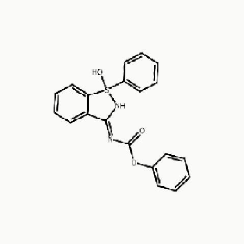 O=C(N=C1NS(O)(c2ccccc2)c2ccccc21)Oc1ccccc1